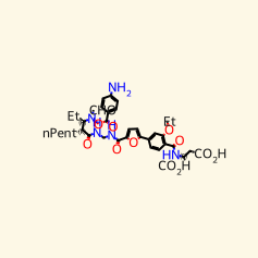 CCCCC[C@@H](C(=O)NCNC(=O)c1ccc(-c2ccc(C(=O)N[C@@H](CC(=O)O)C(=O)O)c(OCC)c2)o1)[C@@H](CC)N(C=O)OC(=O)c1ccc(N)cc1